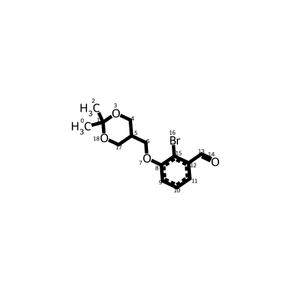 CC1(C)OCC(COc2cccc(C=O)c2Br)CO1